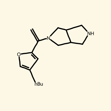 C=C(c1cc(CCCC)co1)N1CC2CNCC2C1